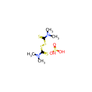 CN(C)C(=S)SSC(=S)N(C)C.O=S(O)O